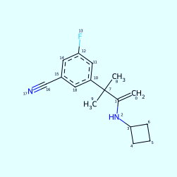 C=C(NC1CCC1)C(C)(C)c1cc(F)cc(C#N)c1